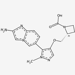 Cn1ncc(OC[C@H]2CCN2C(=O)O)c1-c1ccc2nc(N)cn2c1